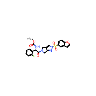 CC(C)(C)OC(=O)N[C@@H](C(=O)N1Cc2cn(S(=O)(=O)c3ccc4occc4c3)nc2C1)c1ccccc1F